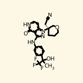 CC(O)(c1ccc(Nc2nn([C@]3(CC#N)CCCOC3)c3cc[nH]c(=O)c23)cc1)C(F)(F)F